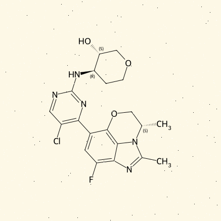 Cc1nc2c(F)cc(-c3nc(N[C@@H]4CCOC[C@H]4O)ncc3Cl)c3c2n1[C@@H](C)CO3